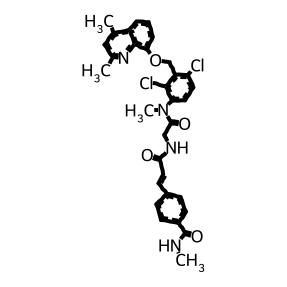 CNC(=O)c1ccc(C=CC(=O)NCC(=O)N(C)c2ccc(Cl)c(COc3cccc4c(C)cc(C)nc34)c2Cl)cc1